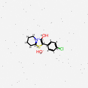 Oc1c(-c2ccc(Cl)cc2)sc2[n+]1CCCC2.[OH-]